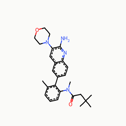 Cc1cccc(N(C)C(=O)CC(C)(C)C)c1-c1ccc2nc(N)c(N3CCOCC3)cc2c1